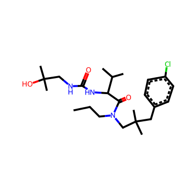 CCCN(CC(C)(C)Cc1ccc(Cl)cc1)C(=O)C(NC(=O)NCC(C)(C)O)C(C)C